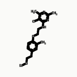 CCOCCc1ccc(OCCNc2nc(C)nc(C)c2Cl)c(C)c1